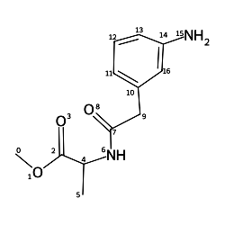 COC(=O)C(C)NC(=O)Cc1cccc(N)c1